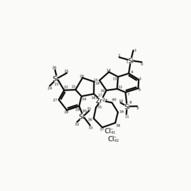 C[Si](C)(C)C1=CC=C([Si](C)(C)C)C2C1CC[CH]2[Zr+2]1([CH]2CCC3C([Si](C)(C)C)=CC=C([Si](C)(C)C)C32)[CH2]CCCC[CH2]1.[Cl-].[Cl-]